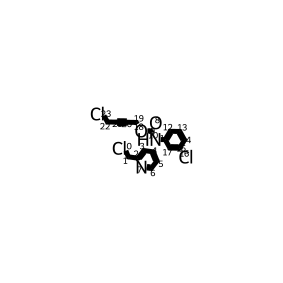 ClCc1ccccn1.O=C(Nc1cccc(Cl)c1)OCC#CCCl